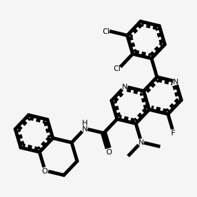 CN(C)c1c(C(=O)NC2CCOc3ccccc32)cnc2c(-c3cccc(Cl)c3Cl)ncc(F)c12